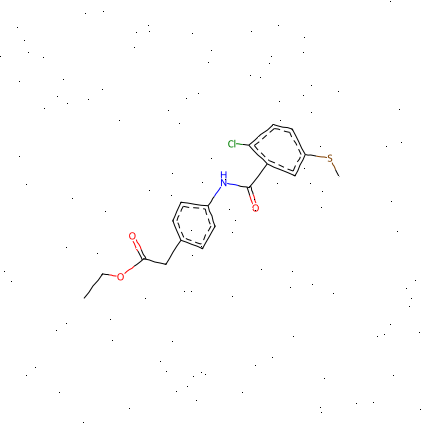 CCOC(=O)Cc1ccc(NC(=O)c2cc(SC)ccc2Cl)cc1